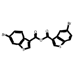 O=C(OC(=O)c1csc2ccc(Br)cc12)c1csc2cc(Br)ccc12